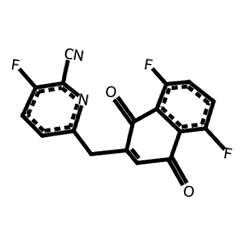 N#Cc1nc(CC2=CC(=O)c3c(F)ccc(F)c3C2=O)ccc1F